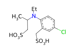 CCN(c1ccc(Cl)cc1CS(=O)(=O)O)C(C)CS(=O)(=O)O